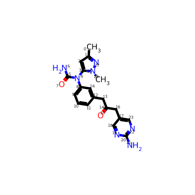 Cc1cc(N(C(N)=O)c2cccc(CC(=O)Cc3cnc(N)nc3)c2)n(C)n1